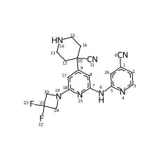 N#Cc1ccnc(Nc2cc(C3(C#N)CCNCC3)cc(N3CC(F)(F)C3)n2)c1